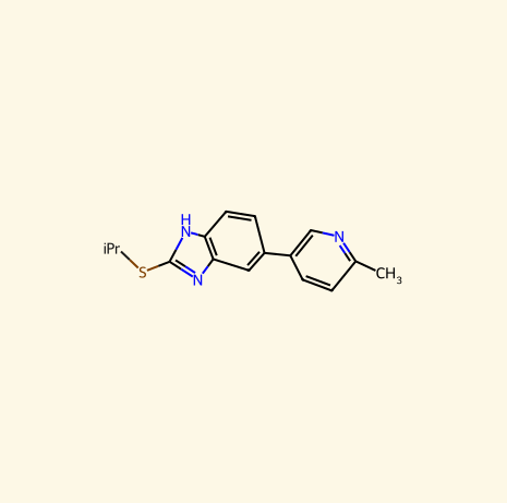 Cc1ccc(-c2ccc3[nH]c(SC(C)C)nc3c2)cn1